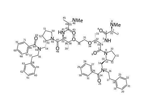 CN[C@@H](C)C(=O)N[C@H](C(=O)N1CCC[C@H]1CN(CCc1ccccc1)C(=O)c1ccccc1)[C@@H](C)OCCO[C@H](C)[C@H](NC(=O)[C@H](C)NC)C(=O)N1CCC[C@H]1CN(CCc1ccccc1)C(=O)c1ccccc1